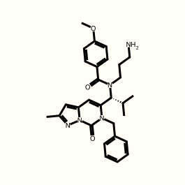 COc1ccc(C(=O)N(CCCN)[C@@H](c2cc3cc(C)nn3c(=O)n2Cc2ccccc2)C(C)C)cc1